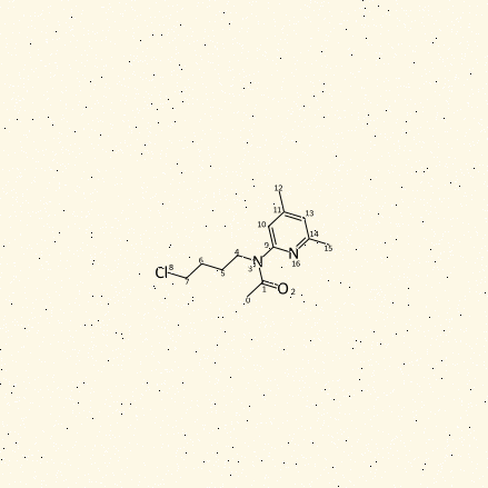 CC(=O)N(CCCCCl)c1cc(C)cc(C)n1